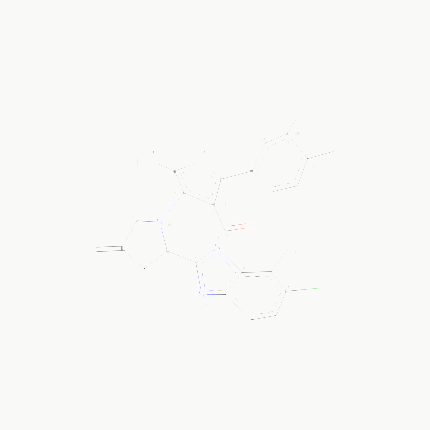 C=C1CC(c2nc3c(C)c(Cl)ccc3[nH]2)N(c2c(C)sc(-c3ccc(C)c(C)c3)c2C=O)C1